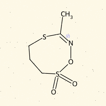 C/C1=N/OS(=O)(=O)CCCS1